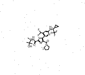 C[C@H]1CCCN1C(=O)c1nc(C(=O)N[C@H](C)C(C)(C)O)sc1-c1cnc(N[C@@H](C2CC2)C(F)(F)F)cc1C(F)F